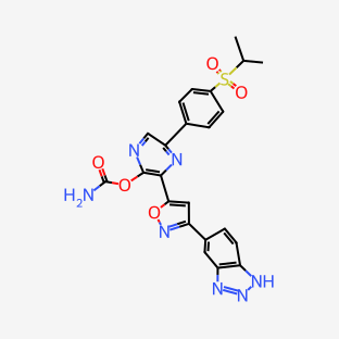 CC(C)S(=O)(=O)c1ccc(-c2cnc(OC(N)=O)c(-c3cc(-c4ccc5[nH]nnc5c4)no3)n2)cc1